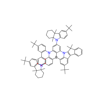 CC(C)(C)c1ccc(N2c3cc(N4c5ccc(C(C)(C)C)cc5C5(C)CCCCC45C)ccc3B3c4c2cc(N2c5ccc(C(C)(C)C)cc5C5(C)CCCCC25C)cc4-n2c4c(c5cc(C(C)(C)C)cc3c52)-c2ccccc2C4(C)C)c(-c2ccccc2)c1